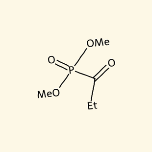 CCC(=O)P(=O)(OC)OC